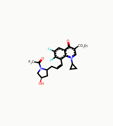 CCOC(=O)c1cn(C2CC2)c2c(/C=C\CC3C[C@@H](O)CN3C(=O)C(F)(F)F)c(F)c(F)cc2c1=O